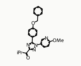 COc1ccc(-n2nc(C(=O)C(C)C)nc2-c2ccc(OCc3ccccc3)cc2)cn1